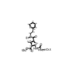 CCCCCCCCNC(=O)Nc1sc(C(=O)N(CC)CCc2ccccn2)c(C)c1C(=O)OC(C)(C)C